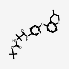 CC1COc2cccc(Oc3ccc(NC(=O)C(C)(C)NC(=O)OC(C)(C)C)cn3)c2C1